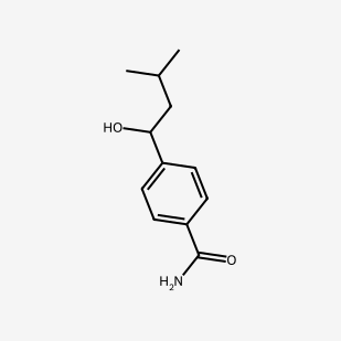 CC(C)CC(O)c1ccc(C(N)=O)cc1